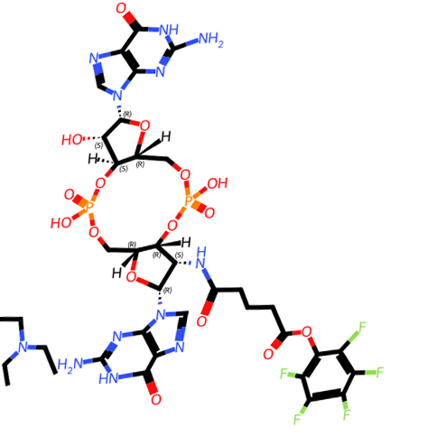 CCN(CC)CC.Nc1nc2c(ncn2[C@@H]2O[C@@H]3COP(=O)(O)O[C@@H]4[C@H](NC(=O)CCCC(=O)Oc5c(F)c(F)c(F)c(F)c5F)[C@H](n5cnc6c(=O)[nH]c(N)nc65)O[C@@H]4COP(=O)(O)O[C@H]3[C@@H]2O)c(=O)[nH]1